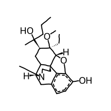 CCCC(C)(O)[C@@H]1CC2[C@H]3Cc4ccc(O)c5c4[C@@]2(CCN3C)[C@@H](O5)[C@]1(CC)OC